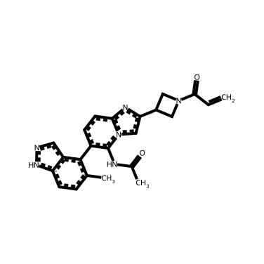 C=CC(=O)N1CC(c2cn3c(NC(C)=O)c(-c4c(C)ccc5[nH]ncc45)ccc3n2)C1